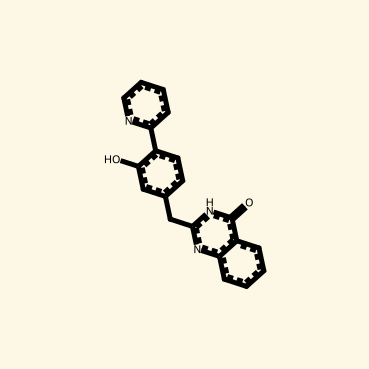 O=c1[nH]c(Cc2ccc(-c3ccccn3)c(O)c2)nc2ccccc12